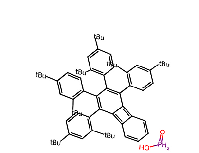 CC(C)(C)c1ccc(-c2c(-c3ccc(C(C)(C)C)cc3C(C)(C)C)c(-c3ccc(C(C)(C)C)cc3C(C)(C)C)c3c(c2-c2ccc(C(C)(C)C)cc2C(C)(C)C)=c2ccccc2=3)c(C(C)(C)C)c1.O=[PH2]O